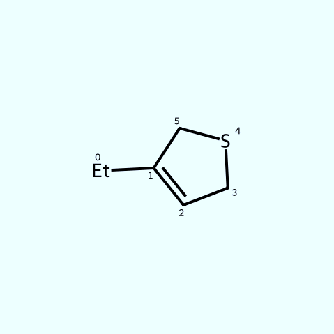 CCC1=CCSC1